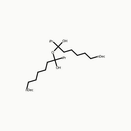 CCCCCCCCCCCCCCCC(O)(OC(O)(CCCCCCCCCCCCCCC)C(C)C)C(C)C